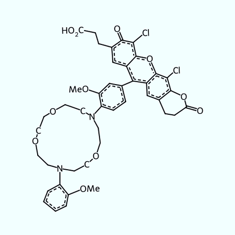 COc1ccccc1N1CCOCCOCCN(c2ccc(-c3c4cc(CCC(=O)O)c(=O)c(Cl)c-4oc4c(Cl)c5c(cc34)CCC(=O)O5)cc2OC)CCOCC1